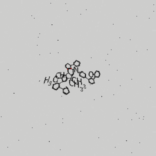 CC1(C)c2cc(N(c3ccc(-c4cccc5c4oc4ccccc45)cc3)c3ccccc3-c3ccccc3)ccc2-c2cc3c(cc21)-c1c(-c2ccccc2)cccc1C3(C)C